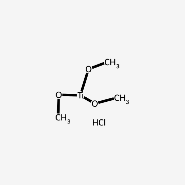 C[O][Ti]([O]C)[O]C.Cl